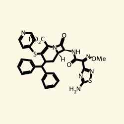 CON=C(C(=O)N[C@@H]1C(=O)N2C(C(=O)O)=C(Sc3ccncc3)C(C(c3ccccc3)c3ccccc3)C[C@H]12)c1nsc(N)n1